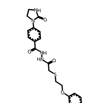 O=C(CSCCOc1ccccc1)NNC(=O)c1ccc(N2CCNC2=O)cc1